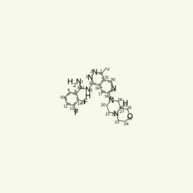 Cc1nnc(N[C@H](N)c2cccc(F)c2F)c2cc(N3CCN4CCOC[C@@H]4C3)ncc12